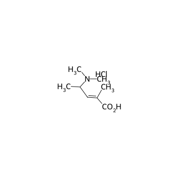 CC(=CC(C)N(C)C)C(=O)O.Cl